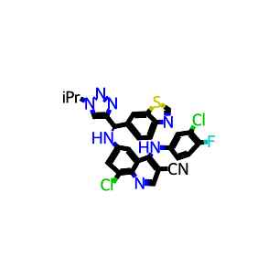 CC(C)n1cc([C@@H](Nc2cc(Cl)c3ncc(C#N)c(Nc4ccc(F)c(Cl)c4)c3c2)c2ccc3ncsc3c2)nn1